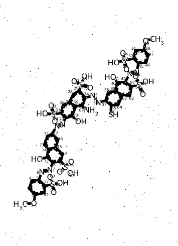 COc1ccc(N=Nc2c(S(=O)(=O)O)cc3cc(N=Nc4c(S(=O)(=O)O)cc5cc(S(=O)(=O)O)c(N=Nc6cc7c(O)c(N=Nc8ccc(OC)cc8S(=O)(=O)O)c(S(=O)(=O)O)cc7cc6S)c(N)c5c4O)ccc3c2O)c(S(=O)(=O)O)c1